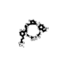 COC(=O)CCc1cccc(C2(C)CCCC(O)CNC(=O)CCc3c(c(F)cc4[nH]ccc34)Oc3ccc(F)c(c3)-c3ncc2[nH]3)c1